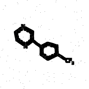 FC(F)(F)c1ccc(-c2cnccn2)cc1